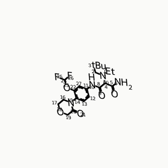 CCN(CC(C)(C)C)[C@H](C(N)=O)C(=O)Nc1ccc(N2CCOCC2=O)c(OC(F)F)c1